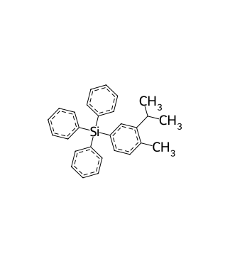 Cc1ccc([Si](c2ccccc2)(c2ccccc2)c2ccccc2)cc1C(C)C